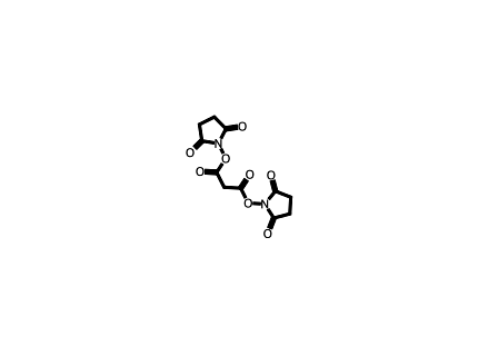 O=C(CC(=O)ON1C(=O)CCC1=O)ON1C(=O)CCC1=O